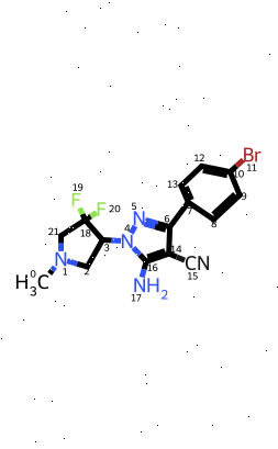 CN1CC(n2nc(-c3ccc(Br)cc3)c(C#N)c2N)C(F)(F)C1